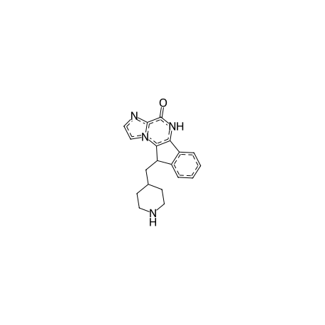 O=c1[nH]c2c(n3ccnc13)C(CC1CCNCC1)c1ccccc1-2